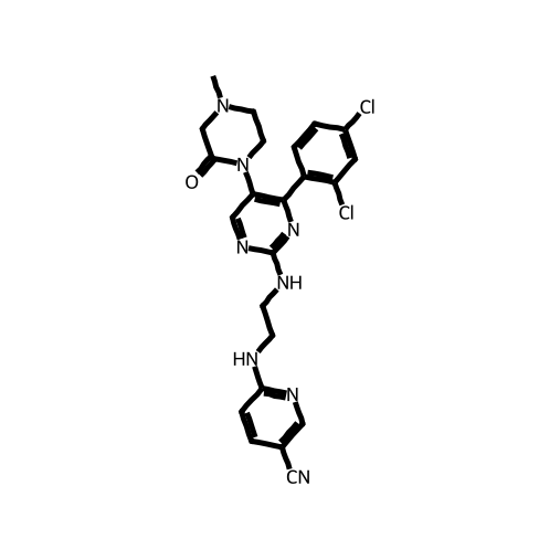 CN1CCN(c2cnc(NCCNc3ccc(C#N)cn3)nc2-c2ccc(Cl)cc2Cl)C(=O)C1